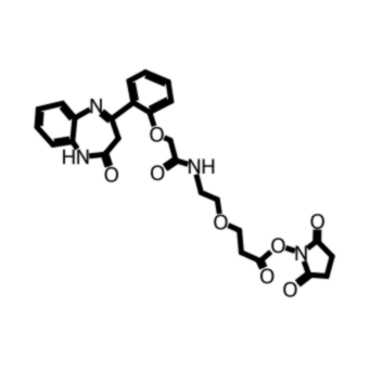 O=C(COc1ccccc1C1=Nc2ccccc2NC(=O)C1)NCCOCCC(=O)ON1C(=O)CCC1=O